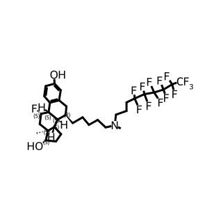 CN(CCCCC[C@@H]1Cc2cc(O)ccc2[C@@H]2[C@@H]1[C@@H]1CC[C@H](O)[C@@]1(C)C[C@@H]2F)CCCC(F)(F)C(F)(F)C(F)(F)C(F)(F)C(F)(F)C(F)(F)F